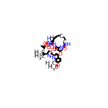 COc1ccc2c(O[C@@H]3C[C@H]4C(=O)N[C@]5(C(=O)NS(=O)(=O)C6CC6)C[C@H]5/C=C\CCCCCNC(=O)N4C3)cc(C3=NC(C(C)C)CS3)nc2c1C